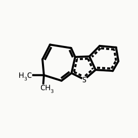 CC1(C)C=CC=c2c(sc3ccccc23)=C1